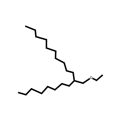 C[CH]OCC(CCCCCCCC)CCCCCCCCCC